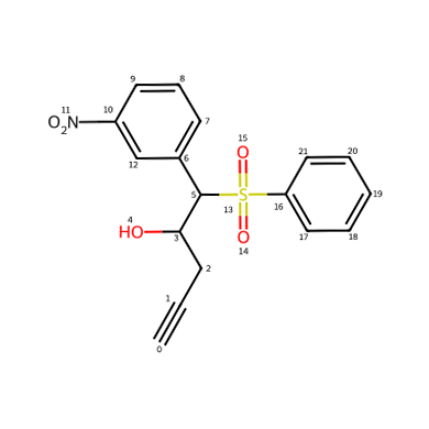 C#CCC(O)C(c1cccc([N+](=O)[O-])c1)S(=O)(=O)c1ccccc1